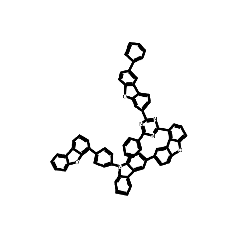 c1ccc(-c2ccc3oc4cc(-c5nc(-c6ccccc6)nc(-c6cccc7oc8ccc(-c9ccc%10c(c9)c9ccccc9n%10-c9ccc(-c%10cccc%11c%10oc%10ccccc%10%11)cc9)cc8c67)n5)ccc4c3c2)cc1